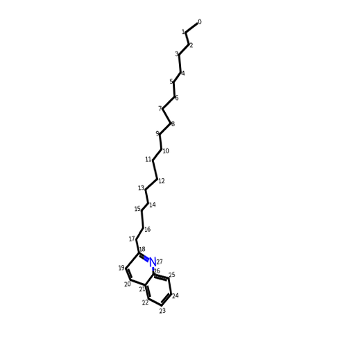 CCCCCCCCCCCCCCCCCCc1ccc2ccccc2n1